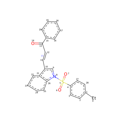 CCc1ccc(S(=O)(=O)n2cc(/C=C/C(=O)c3ccccc3)c3ccccc32)cc1